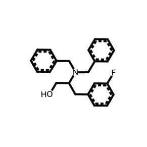 OCC(Cc1cccc(F)c1)N(Cc1ccccc1)Cc1ccccc1